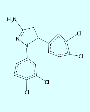 NC1=NN(c2ccc(Cl)c(Cl)c2)C(c2ccc(Cl)c(Cl)c2)C1